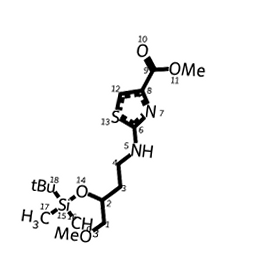 COCC(CCNc1nc(C(=O)OC)cs1)O[Si](C)(C)C(C)(C)C